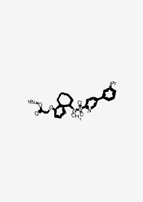 CC(C)c1cccc(-c2ccc(S(=O)(=O)N(C)C3CCCCc4c(OCC(=O)OC(C)(C)C)cccc43)nc2)c1